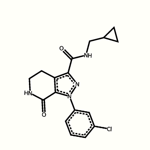 O=C(NCC1CC1)c1nn(-c2cccc(Cl)c2)c2c1CCNC2=O